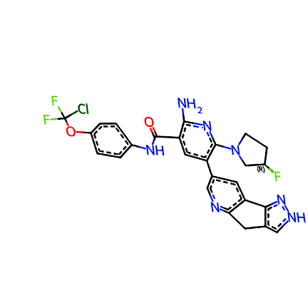 Nc1nc(N2CC[C@@H](F)C2)c(-c2cnc3c(c2)-c2n[nH]cc2C3)cc1C(=O)Nc1ccc(OC(F)(F)Cl)cc1